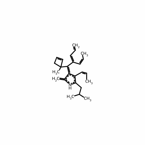 C=C/C=C(\C=C/C)C(=c1\c(/C=C\C)c(CC(C)C)[nH]c1=C)/C1(C)C=CC1